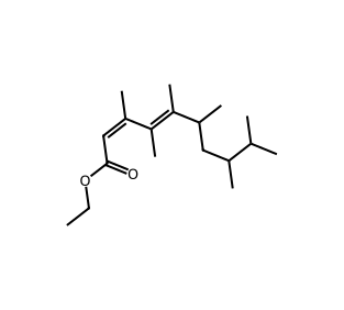 CCOC(=O)C=C(C)C(C)=C(C)C(C)CC(C)C(C)C